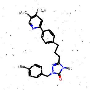 CCn1c(CCCc2ccc(-c3cc(C(=O)O)c(OC)cn3)cc2)nn(Cc2ccc(C(C)(C)C)cc2)c1=O